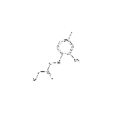 CC(=O)CC(=O)ONc1ccc(C)cc1[N+](=O)[O-]